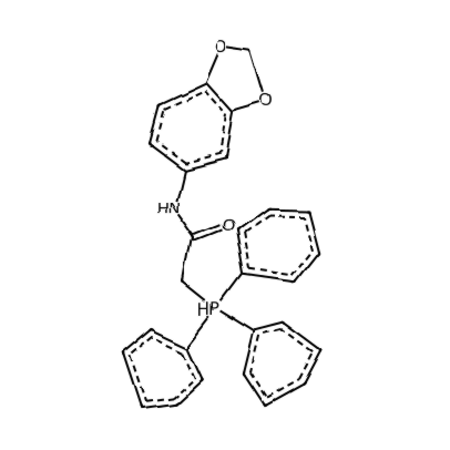 O=C(C[PH](c1ccccc1)(c1ccccc1)c1ccccc1)Nc1ccc2c(c1)OCO2